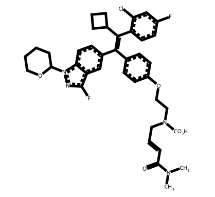 CN(C)C(=O)/C=C/CN(CCOc1ccc(/C(=C(\c2ccc(F)cc2Cl)C2CCC2)c2ccc3c(c2)c(F)nn3C2CCCCO2)cc1)C(=O)O